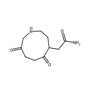 NC(=O)CC1CCNCC(=O)CCC1=O